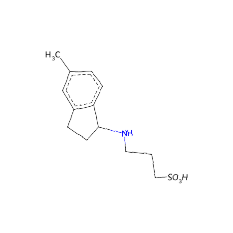 Cc1ccc2c(c1)CCC2NCCCS(=O)(=O)O